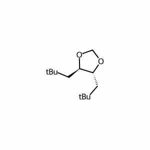 CC(C)(C)C[C@H]1OCO[C@@H]1CC(C)(C)C